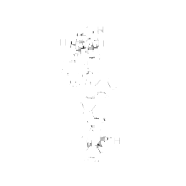 COc1c(CN2O[C@@H](CO)[C@@H]([C@H](C)O)[C@H]2C(=O)N[C@H]2C[C@H]3C[C@@H]([C@@H]2C)C3(C)C)cccc1-c1cccc(C(=O)N[C@@H](Cc2ccccc2)CN(C)C)c1